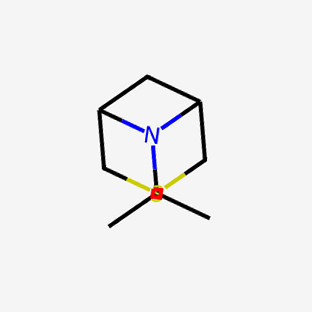 CC(C)N1C2CSCC1C2